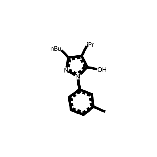 CCCCc1nn(-c2cccc(C)c2)c(O)c1C(C)C